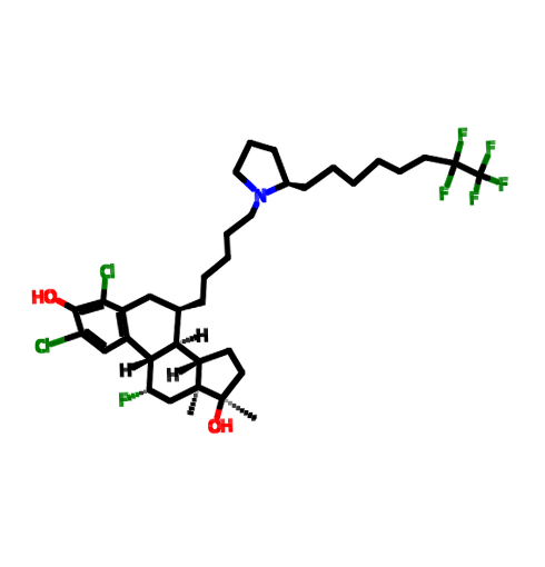 C[C@]12C[C@H](F)[C@@H]3c4cc(Cl)c(O)c(Cl)c4C[C@@H](CCCCCN4CCC[C@H]4CCCCCCC(F)(F)C(F)(F)F)[C@H]3[C@@H]1CC[C@@]2(C)O